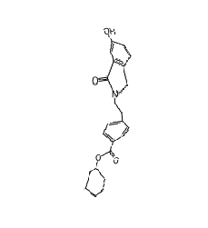 O=C(OC1CCCCC1)c1ccc(CCN2Cc3ccc(O)cc3C2=O)cc1